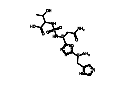 CC(O)C(NS(=O)(=O)N[C@@H](CC(N)=O)c1nnc([C@@H](N)Cc2cnc[nH]2)o1)C(=O)O